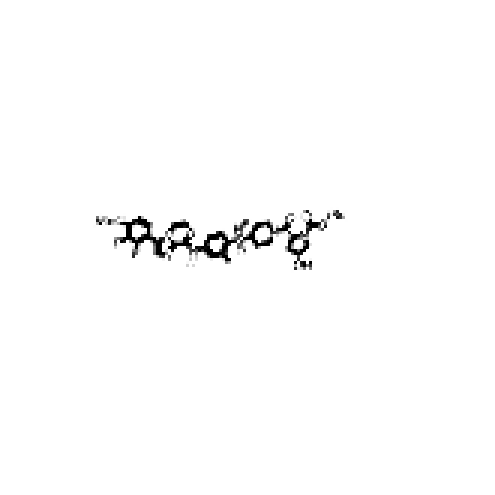 CN=S(=O)(c1ccc(Nc2nccn3c(-c4ccc(OC)c(F)c4F)cnc23)cc1C)C1CCN(C(=O)[C@@H]2C[C@@H](O)CN2C(=O)OC(C)(C)C)CC1